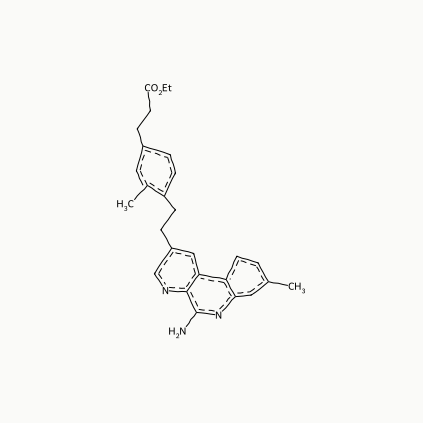 CCOC(=O)CCc1ccc(CCc2cnc3c(N)nc4cc(C)ccc4c3c2)c(C)c1